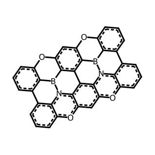 c1cc2c3c(c1)-c1cccc4oc5cc6oc7cccc8c7n7c6c6c5n(c14)B3c1c(cc3c(c1-6)B7c1c(cccc1-8)O3)O2